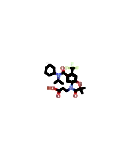 CC(C)N(C(=O)c1cc2c(cc1C(F)(F)F)OC(C)(C)C(=O)N2CCC(=O)O)C1CCCCC1